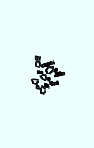 CCCCCCCCCOc1cccc(O)c1.CCCCCCCCOc1cccc(O)c1.Oc1cccc(O)c1.Oc1cccc(Oc2ccccc2)c1